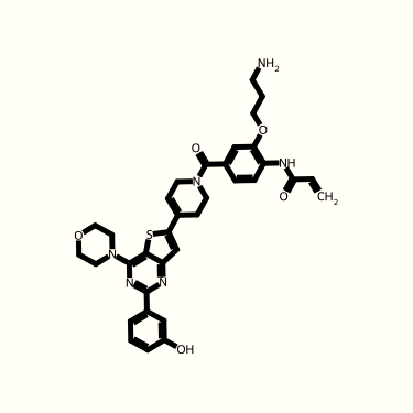 C=CC(=O)Nc1ccc(C(=O)N2CC=C(c3cc4nc(-c5cccc(O)c5)nc(N5CCOCC5)c4s3)CC2)cc1OCCCN